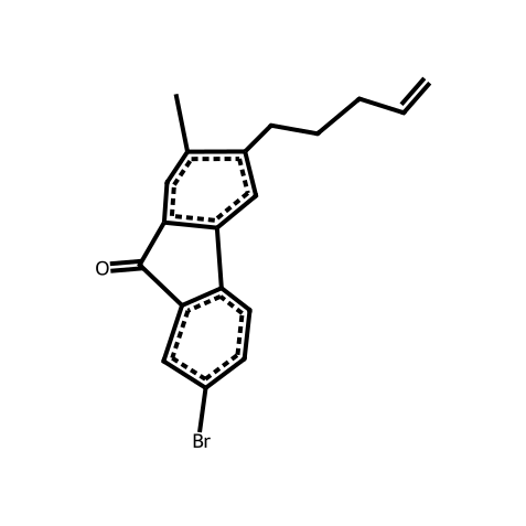 C=CCCCc1cc2c(cc1C)C(=O)c1cc(Br)ccc1-2